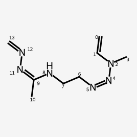 C=CN(C)/N=N\CCN/C(C)=N\N=C